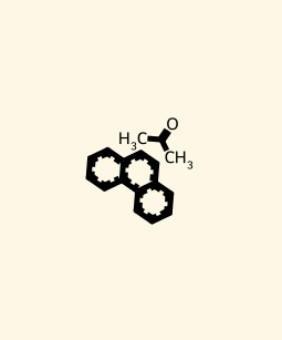 CC(C)=O.c1ccc2c(c1)ccc1ccccc12